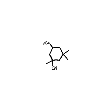 CCCCC1CC(C)(C)CC(C)(C#N)C1